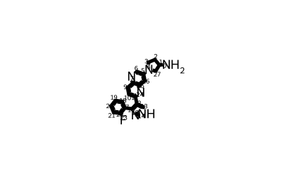 NC1CCN(c2cnc3ccc(-c4c[nH]nc4-c4ccccc4F)nc3c2)C1